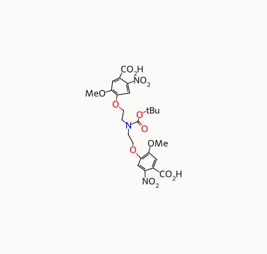 COc1cc(C(=O)O)c([N+](=O)[O-])cc1OCCN(CCOc1cc([N+](=O)[O-])c(C(=O)O)cc1OC)C(=O)OC(C)(C)C